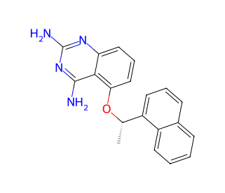 C[C@H](Oc1cccc2nc(N)nc(N)c12)c1cccc2ccccc12